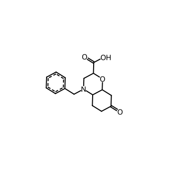 O=C1CCC2C(C1)OC(C(=O)O)CN2Cc1ccccc1